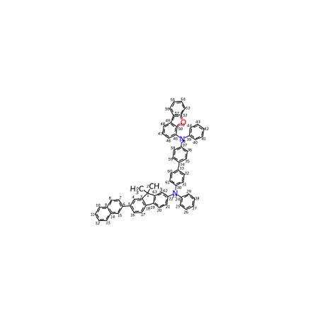 CC1(C)c2cc(-c3ccc4ccccc4c3)ccc2-c2ccc(N(c3ccccc3)c3ccc(-c4ccc(N(c5ccccc5)c5cccc6c5oc5ccccc56)cc4)cc3)cc21